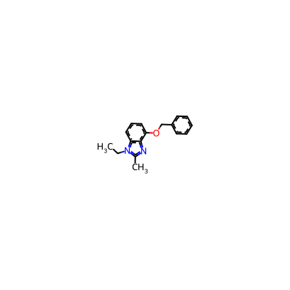 CCn1c(C)nc2c(OCc3ccccc3)cccc21